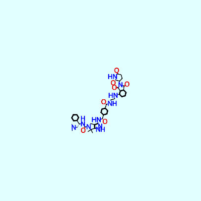 CN(C)C[C@@H](NC(=O)N1Cc2c(NC(=O)c3ccc(C(=O)NCCNc4cccc5c4C(=O)N(C4CCC(=O)NC4=O)C5=O)cc3)n[nH]c2C1(C)C)c1ccccc1